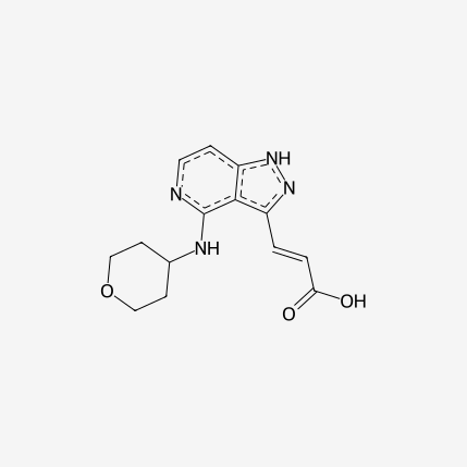 O=C(O)/C=C/c1n[nH]c2ccnc(NC3CCOCC3)c12